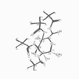 CC(C)(C)C(=O)OC(O)[C@H]1O[C@H](O)[C@@](O)(OC(=O)C(C)(C)C)[C@](O)(OC(=O)C(C)(C)C)[C@@]1(O)OC(=O)C(C)(C)C